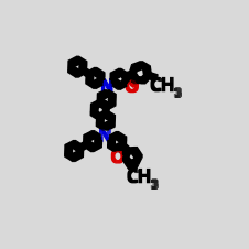 CCC1=CC=Cc2c(oc3cc(N(c4ccc(-c5ccccc5)cc4)c4ccc5c(ccc6cc(N(c7ccc(-c8ccccc8)cc7)c7ccc8c9c(oc8c7)C7C(C)C7C=C9)ccc65)c4)ccc23)C1